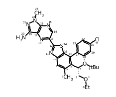 CCOC[C@@H](OC(C)(C)C)c1c(C)cc2nc(-c3cnc4c(n3)c(N)nn4C)sc2c1-c1ccc(Cl)cc1